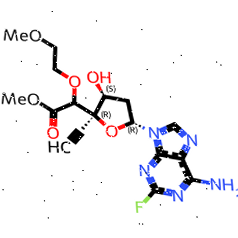 C#C[C@@]1(C(OCCOC)C(=O)OC)O[C@@H](n2cnc3c(N)nc(F)nc32)C[C@@H]1O